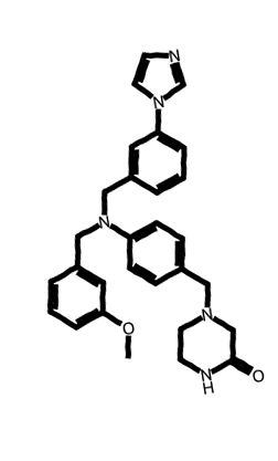 COc1cccc(CN(Cc2cccc(-n3ccnc3)c2)c2ccc(CN3CCNC(=O)C3)cc2)c1